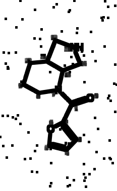 O=C(c1ccco1)N1CCCC2CNCC21